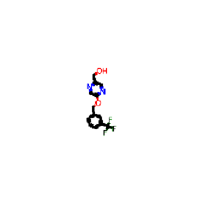 OCc1cnc(OCc2cccc(C(F)(F)F)c2)cn1